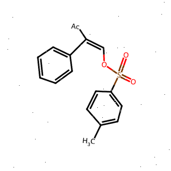 CC(=O)C(=COS(=O)(=O)c1ccc(C)cc1)c1ccccc1